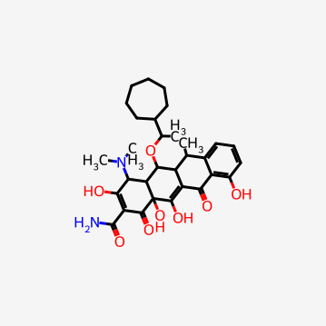 CC(OC1C2C(=C(O)C3(O)C(=O)C(C(N)=O)=C(O)C(N(C)C)C13)C(=O)c1c(O)cccc1C2C)C1CCCCCC1